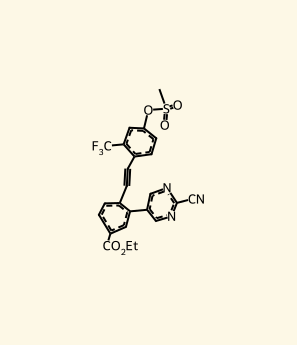 CCOC(=O)c1ccc(C#Cc2ccc(OS(C)(=O)=O)cc2C(F)(F)F)c(-c2cnc(C#N)nc2)c1